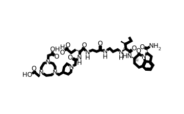 CC[C@H](C)[C@H](NCCCNC(=O)CCNC(=O)[C@@H](CCC(=O)O)NC(=O)CN1CCC(CN2CCN(CC(=O)O)CCN(CC(=O)O)CC2)CC1)C(=O)N[C@H]1CCc2cccc3c2N(C1=O)[C@H](C(N)=O)C3